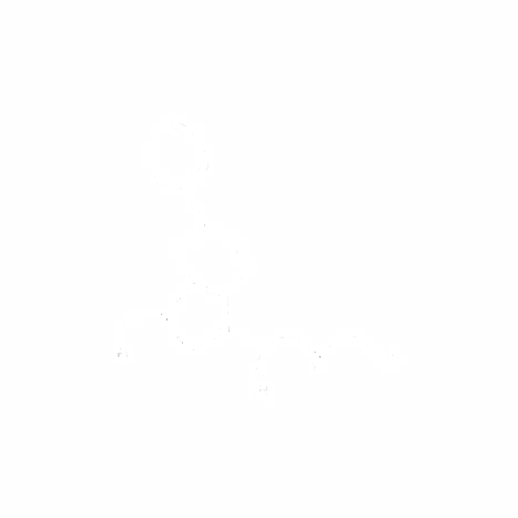 CC(C)Cn1cc(C(C)CNSC(C)C)c2ccc(-c3ccccc3)cc21